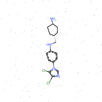 N[C@H]1CC[C@H](CNc2ccc(-n3cnc(Cl)c3Cl)cc2)CC1